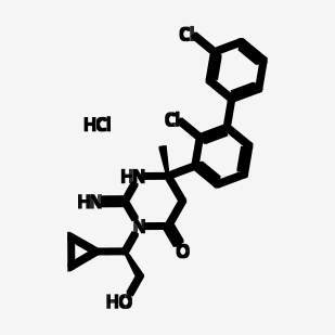 C[C@@]1(c2cccc(-c3cccc(Cl)c3)c2Cl)CC(=O)N([C@@H](CO)C2CC2)C(=N)N1.Cl